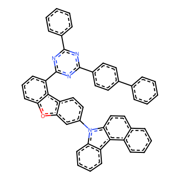 c1ccc(-c2ccc(-c3nc(-c4ccccc4)nc(-c4cccc5oc6cc(-n7c8ccccc8c8c9ccccc9ccc87)ccc6c45)n3)cc2)cc1